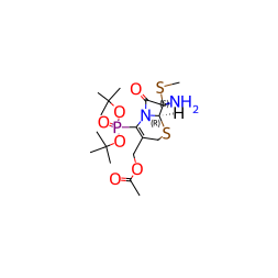 CS[C@@]1(N)C(=O)N2C(P(=O)(OC(C)(C)C)OC(C)(C)C)=C(COC(C)=O)CS[C@@H]21